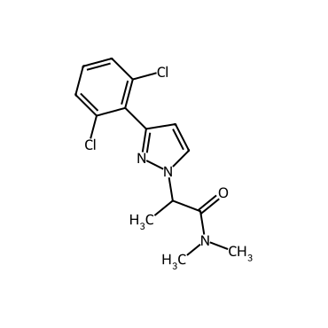 CC(C(=O)N(C)C)n1ccc(-c2c(Cl)cccc2Cl)n1